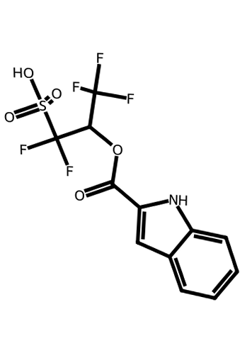 O=C(OC(C(F)(F)F)C(F)(F)S(=O)(=O)O)c1cc2ccccc2[nH]1